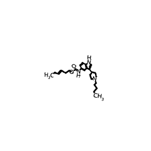 CCC=CCCOC(=O)Nc1ccc2[nH]cc(C3CCN(CCCCC)CC3)c2c1